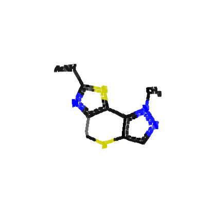 CC(=O)Nc1nc2c(s1)-c1c(cnn1C)SC2